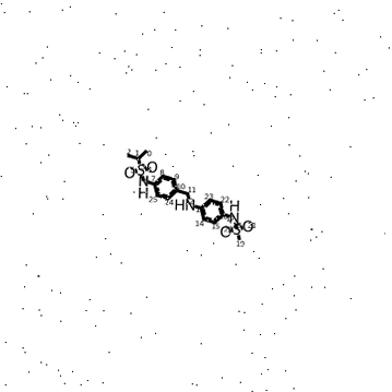 CC(C)S(=O)(=O)Nc1ccc(CNc2ccc(NS(C)(=O)=O)cc2)cc1